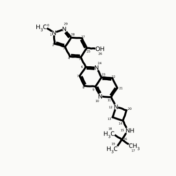 Cn1cc2cc(-c3ccc4nc(N5CC(NC(C)(C)C)C5)ccc4n3)c(O)cc2n1